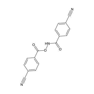 N#Cc1ccc(C(=O)NOC(=O)c2ccc(C#N)cc2)cc1